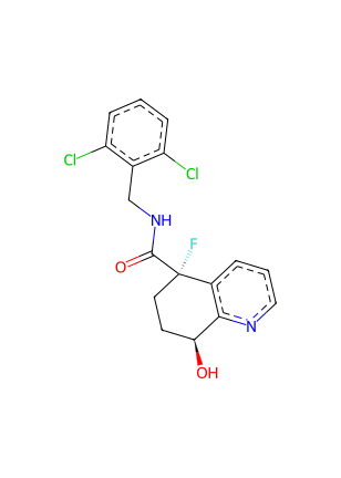 O=C(NCc1c(Cl)cccc1Cl)[C@]1(F)CC[C@H](O)c2ncccc21